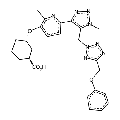 Cc1nc(-c2nnn(C)c2Cn2nnc(COc3ccccc3)n2)ccc1O[C@H]1CCC[C@H](C(=O)O)C1